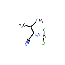 CC(C)CC#N.N.[Cl][Pt][Cl]